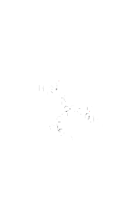 COC1c2ccccc2C1c1ccc(COc2cc(OCc3ccc(C4c5ccccc5C4OC)cc3)cc(OCc3ccc(C4c5ccccc5C4OC)cc3)c2)cc1